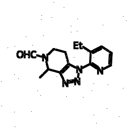 CCc1cccnc1-n1nnc2c1CCN(C=O)C2C